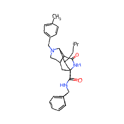 Cc1ccc(CN2CC3CC4(C(=O)NCc5ccccc5)NC(=O)C3C2C4CC(C)C)cc1